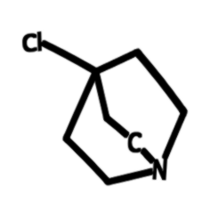 ClC12CCN(CC1)CC2